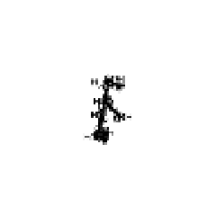 CC(=O)OCC1OC(OCCCCC(=O)N[C@@H](CCCCNC(=O)CCCCOC2OC(CO)C(OC(C)=O)C(OC(C)=O)C2C)C(=O)NCCCCCC(=O)O)C(N)C(O)C1O